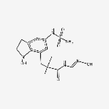 CC(C)(Cc1cc(NS(N)(=O)=O)cc2c1N(O)CC2)C(=O)NC=NO